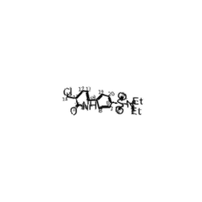 CCN(CC)S(=O)(=O)c1ccc(-c2ccc(CCl)c(=O)[nH]2)cc1